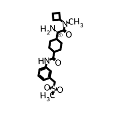 CN(C(=O)[C@@H](N)C1CCC(C(=O)Nc2cccc(CS(C)(=O)=O)c2)CC1)C1CCC1